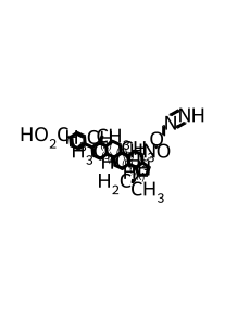 C=C(C)[C@@H]1CC[C@]2(CNC(=O)OCCN3CCNCC3)CC[C@]3(C)[C@H](CC[C@@H]4[C@@]5(C)CC=C(c6ccc(C(=O)O)cc6)C(C)(C)[C@@H]5CC[C@]43C)[C@@H]12